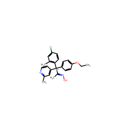 CCOc1ccc([C@](C(C)=NO)(c2ccnc(C)c2)c2ccc(Cl)cc2C)cc1